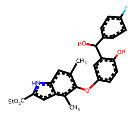 CCOC(=O)c1cc2c(C)c(Oc3ccc(O)c(C(O)c4ccc(F)cc4)c3)c(C)cc2[nH]1